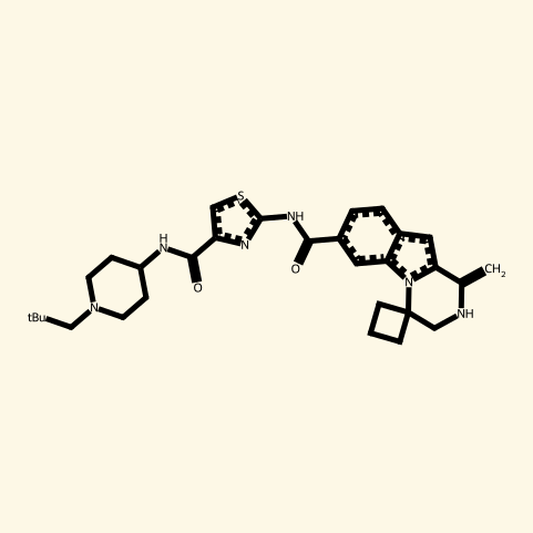 C=C1NCC2(CCC2)n2c1cc1ccc(C(=O)Nc3nc(C(=O)NC4CCN(CC(C)(C)C)CC4)cs3)cc12